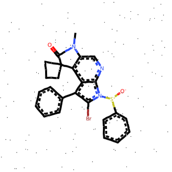 CN1C(=O)C2(CCC2)c2c1cnc1c2c(-c2ccccc2)c(Br)n1[S+]([O-])c1ccccc1